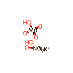 O=[N+]([O-])[O-].[K+].[Na+].[OH-].[O]=[Mn](=[O])(=[O])[OH]